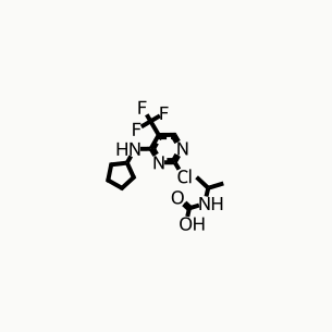 CC(C)NC(=O)O.FC(F)(F)c1cnc(Cl)nc1NC1CCCC1